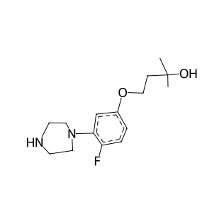 CC(C)(O)CCOc1ccc(F)c(N2CCNCC2)c1